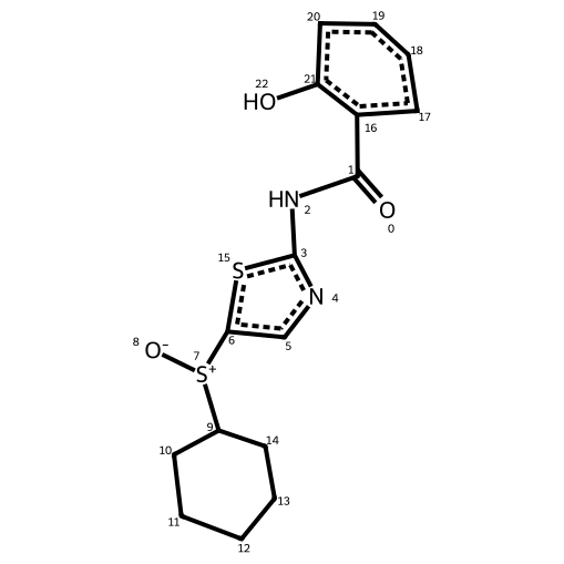 O=C(Nc1ncc([S+]([O-])C2CCCCC2)s1)c1ccccc1O